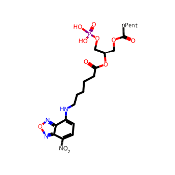 CCCCCC(=O)OC[C@H](COP(=O)(O)O)OC(=O)CCCCCNc1ccc([N+](=O)[O-])c2nonc12